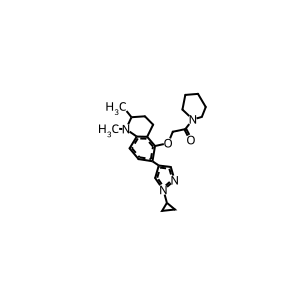 CC1CCc2c(ccc(-c3cnn(C4CC4)c3)c2OCC(=O)N2CCCCC2)N1C